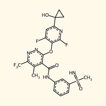 Cc1c(C(F)(F)F)nnc(Oc2c(F)cc(C3(O)CC3)nc2F)c1C(=O)Nc1cccc(S(C)(=N)=O)c1